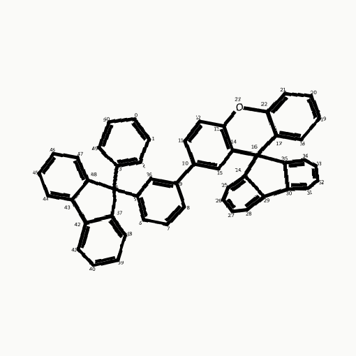 c1ccc(C2(c3cccc(-c4ccc5c(c4)C4(c6ccccc6O5)c5ccccc5-c5ccccc54)c3)c3ccccc3-c3ccccc32)cc1